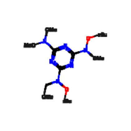 CCCCON(COC)c1nc(N(OC)OC)nc(N(OC)OCCCC)n1